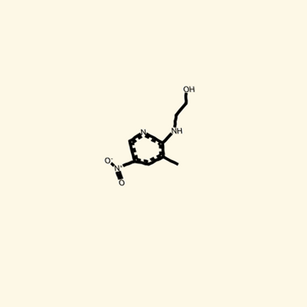 Cc1cc([N+](=O)[O-])cnc1NCCO